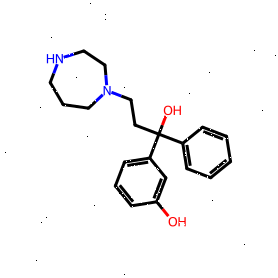 Oc1cccc(C(O)(CCN2CCCNCC2)c2ccccc2)c1